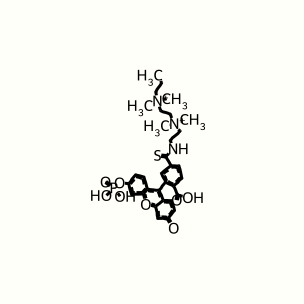 CCC[N+](C)(C)CC[N+](C)(C)CCNC(=S)c1ccc(C(=O)O)c(-c2c3ccc(=O)cc-3oc3cc(OP(=O)(O)O)ccc23)c1